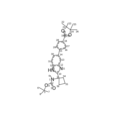 CN(C(=O)OC(C)(C)C)C1(c2nc3cc(-c4ccc(B5OC(C)(C)C(C)(C)O5)cc4)ccc3[nH]2)CCC1